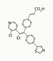 CCC(=C(c1ccc(C=CC(=O)O)cc1)c1ccc(-c2cncs2)cc1)c1ccncc1Cl